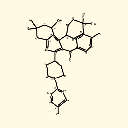 Cc1ccc(C(F)c2c(C3CCN(c4ncc(C)cn4)CC3)nc3c(c2C2CCC(F)(F)CC2)C(O)CC(C)(C)C3)cc1